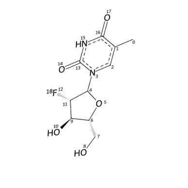 Cc1cn(C2O[C@H](CO)[C@@H](O)[C@@H]2[18F])c(=O)[nH]c1=O